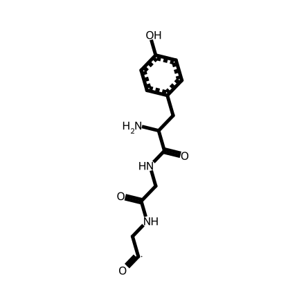 NC(Cc1ccc(O)cc1)C(=O)NCC(=O)NC[C]=O